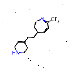 FC(F)(F)C1=NCCC(CCC2CCNCC2)C=C1